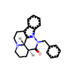 O=C1[C@H]2CCCN3CCc4c(n(c5ccccc45)N1Cc1ccccc1)[C@H]23